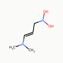 CN(C)C=CCN(O)O